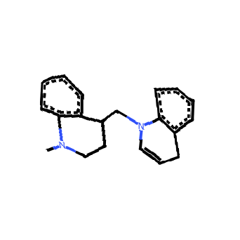 CN1CCC(CN2C=CCc3ccccc32)c2ccccc21